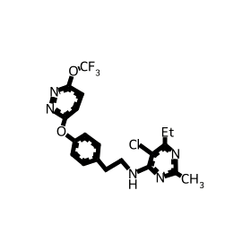 CCc1nc(C)nc(NCCc2ccc(Oc3ccc(OC(F)(F)F)nn3)cc2)c1Cl